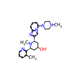 Cc1cccnc1[C@@H]1C[C@H](O)C[C@H](c2cn3c(N4CCN(C)CC4)cccc3n2)N1C